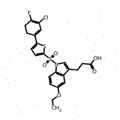 CCOc1ccc2c(c1)c(CCC(=O)O)cn2S(=O)(=O)c1ccc(C2=CC(Cl)=C(F)CC2)s1